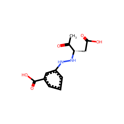 CC(=O)[C@H](CC(=O)O)NNc1cccc(C(=O)O)c1